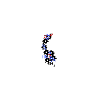 Cc1ccc(NC(=O)c2ccc(N3CCN(Cc4ccc(N5CCC(=O)NC5=O)cc4)CC3)cc2)cc1Nc1nccc(-c2cccnc2)n1